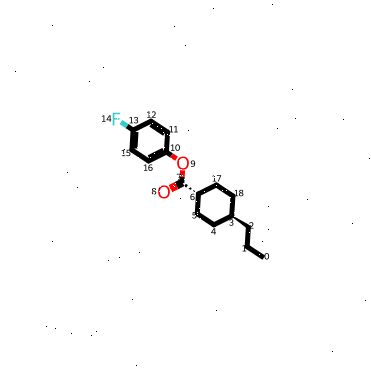 CCC[C@H]1CC[C@H](C(=O)Oc2ccc(F)cc2)CC1